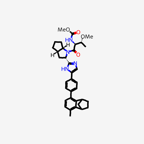 COC(=O)N[C@H](C(=O)N1[C@H](c2ncc(-c3ccc(-c4ccc(C)c5c4C4CCC5C4)cc3)[nH]2)C[C@@H]2CCC[C@@H]21)[C@@H](C)OC